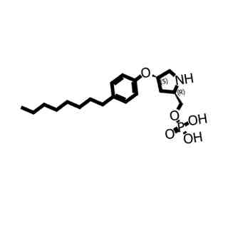 CCCCCCCCc1ccc(O[C@@H]2CN[C@@H](COP(=O)(O)O)C2)cc1